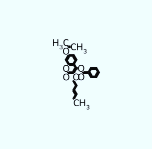 CCC=CCCOc1c(OC(=O)c2ccccc2)c2ccc(OC(C)C)cc2oc1=O